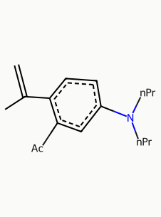 C=C(C)c1ccc(N(CCC)CCC)cc1C(C)=O